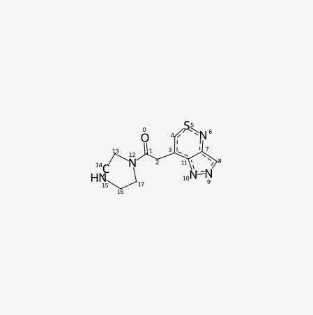 O=C(Cc1csnc2cnnc1-2)N1CCNCC1